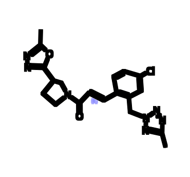 Cc1nnn(Cc2cc(Cl)ccc2/C=C/C(=O)N2CCC(c3nnc(C)o3)C2)n1